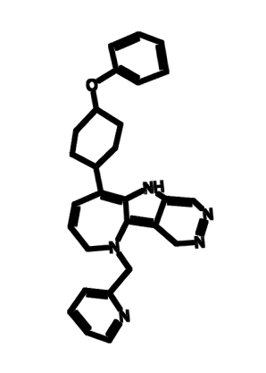 C1=CC(C2CCC(Oc3ccccc3)CC2)=c2[nH]c3c(c2N(Cc2ccccn2)C1)CN=NC=3